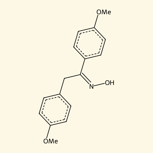 COc1ccc(CC(=NO)c2ccc(OC)cc2)cc1